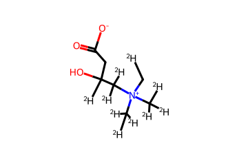 [2H]C[N+](C([2H])([2H])[2H])(C([2H])([2H])[2H])C([2H])([2H])C([2H])(O)CC(=O)[O-]